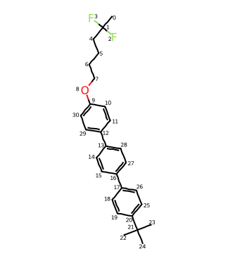 CC(F)(F)CCCCOc1ccc(-c2ccc(-c3ccc(C(C)(C)C)cc3)cc2)cc1